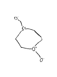 [O-][O+]1CC[S+]([O-])CC1